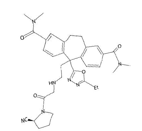 CCc1nnc(C2(CCNCC(=O)N3CCC[C@H]3C#N)c3ccc(C(=O)N(C)C)cc3CCc3cc(C(=O)N(C)C)ccc32)o1